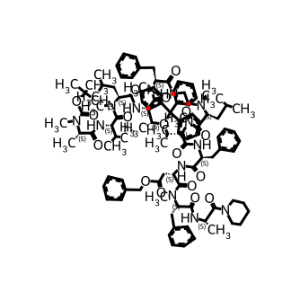 CC(C)C[C@@H](C(=O)N(C)[C@H](C(=O)N[C@@H](Cc1ccccc1)C(=O)N[C@@H](CC(=O)OCc1ccccc1)C(=O)N(C)[C@@H](Cc1ccccc1)C(=O)N[C@@H](C)C(=O)N1CCCCC1)C(C)C)N(C)C(=O)CNC(=O)[C@H](Cc1ccccc1)N(C)C(=O)[C@@H](NC(=O)[C@H](CC(C)C)N(C)C(=O)[C@@H](NC(=O)[C@H](C)N(C)C(=O)OC(C)(C)C)C(C)C)[C@@H](C)OC(c1ccccc1)(c1ccccc1)c1ccccc1